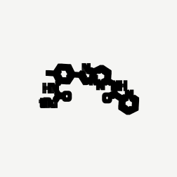 Cc1ccc(-c2cn3nc(NC(=O)c4ccccn4)ccc3n2)cc1NC(=O)C(C)(C)C